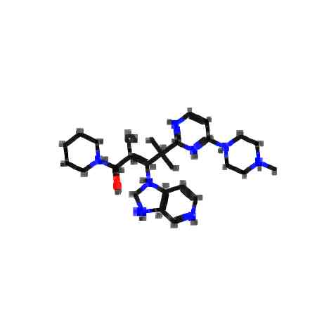 CN1CCN(c2ccnc(C(C)(C)C(=C(C#N)C(=O)N3CCCCC3)N3CNc4cnccc43)n2)CC1